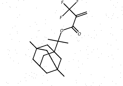 C=C(C(=O)OC(C)(C)C12CC3CC(C)(CC(C)(C3)C1)C2)C(F)(F)F